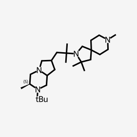 C[C@H]1CN2CC(CC(C)(C)N3CC4(CCN(C)CC4)CC3(C)C)CC2CN1C(C)(C)C